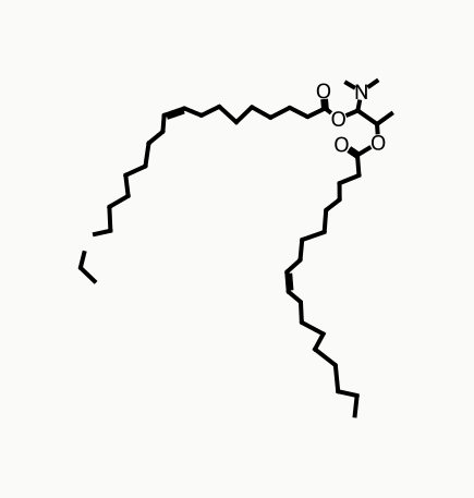 CCC.CCCCCCCC/C=C\CCCCCCCC(=O)OC(C)C(OC(=O)CCCCCCC/C=C\CCCCCCCC)N(C)C